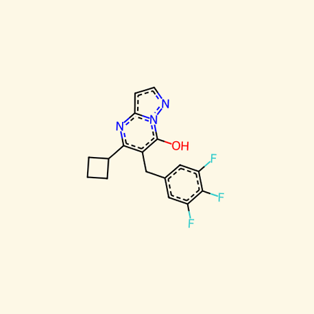 Oc1c(Cc2cc(F)c(F)c(F)c2)c(C2CCC2)nc2ccnn12